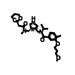 COCCCOc1cc(C(=O)N(C[C@@H]2CNC[C@H]2CN(C)C(=O)C[C@H]2CCCCO2)C(C)C)ccc1C